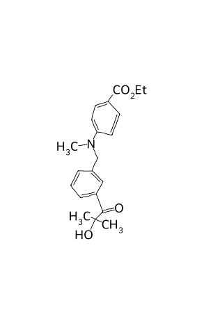 CCOC(=O)c1ccc(N(C)Cc2cccc(C(=O)C(C)(C)O)c2)cc1